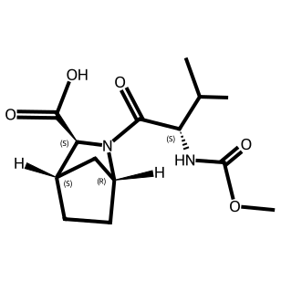 COC(=O)N[C@H](C(=O)N1[C@@H]2CC[C@@H](C2)[C@H]1C(=O)O)C(C)C